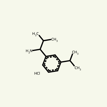 CC(C)c1cccc(C(N)C(C)C)c1.Cl